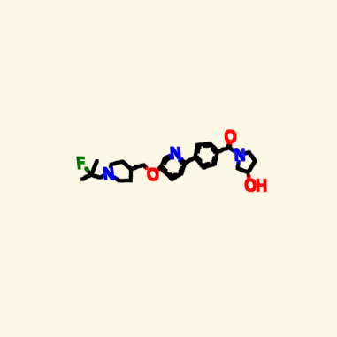 CC(C)(F)CN1CCC(COc2ccc(-c3ccc(C(=O)N4CC[C@@H](O)C4)cc3)nc2)CC1